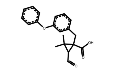 CC1(C)C(C=O)C1(Cc1cccc(Oc2ccccc2)c1)C(=O)O